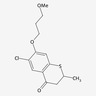 COCCCOc1cc2c(cc1Cl)C(=O)CC(C)S2